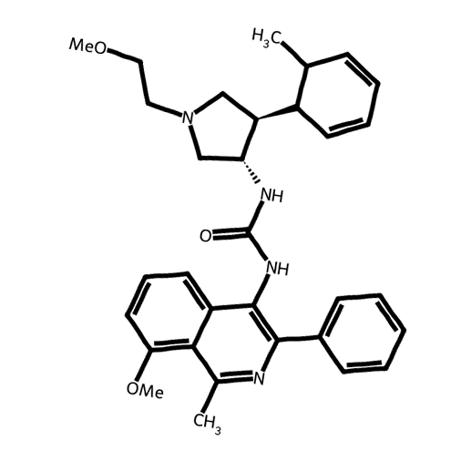 COCCN1C[C@@H](NC(=O)Nc2c(-c3ccccc3)nc(C)c3c(OC)cccc23)[C@H](C2C=CC=CC2C)C1